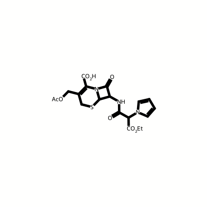 CCOC(=O)C(C(=O)NC1C(=O)N2C(C(=O)O)=C(COC(C)=O)CSC12)n1cccc1